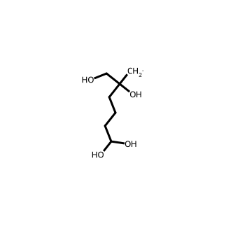 [CH2]C(O)(CO)CCCC(O)O